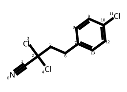 N#CC(Cl)(Cl)CCc1ccc(Cl)cc1